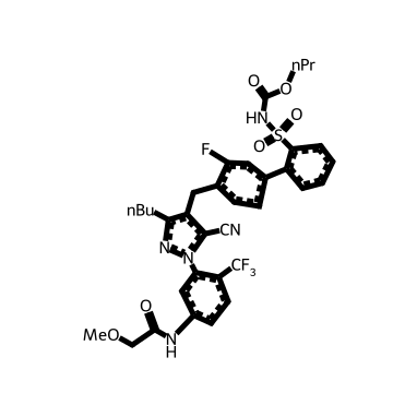 CCCCc1nn(-c2cc(NC(=O)COC)ccc2C(F)(F)F)c(C#N)c1Cc1ccc(-c2ccccc2S(=O)(=O)NC(=O)OCCC)cc1F